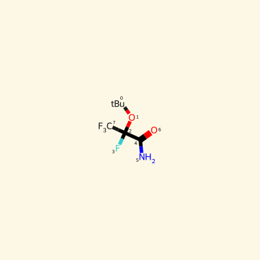 CC(C)(C)OC(F)(C(N)=O)C(F)(F)F